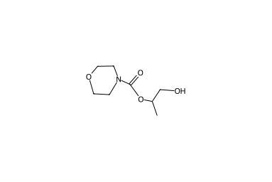 CC(CO)OC(=O)N1CCOCC1